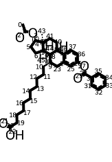 CC(=O)O[C@H]1CC[C@H]2[C@@H]3[C@H](CCCCCCCCCCC(=O)O)Cc4cc(OC(=O)c5ccccc5)ccc4[C@H]3CC[C@]12C